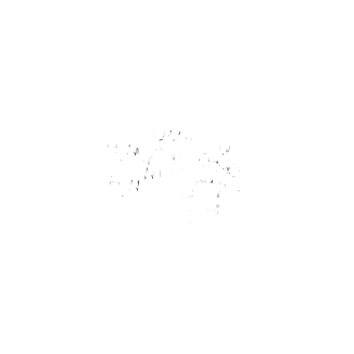 COc1ccc[n+](N)c1N.Cc1cc(C)c(S(=O)(=O)[O-])c(C)c1